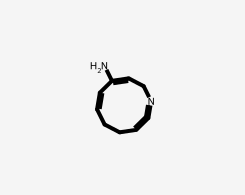 NC1=CCN=C=CCC/C=C\1